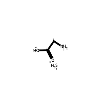 NCC(=O)O.S